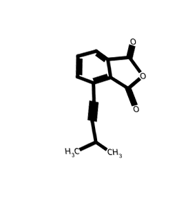 CC(C)C#Cc1cccc2c1C(=O)OC2=O